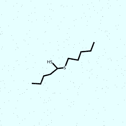 CCCCCSC(S)CCCC